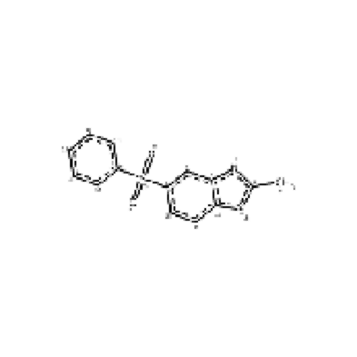 Cc1nc2cc(S(=O)(=O)c3ccccc3)ccc2s1